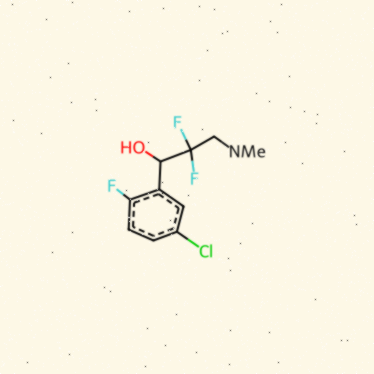 CNCC(F)(F)C(O)c1cc(Cl)ccc1F